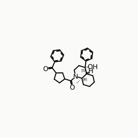 C[C@@]12CCCC[C@H]1[C@](O)(c1ccccc1)CCN2C(=O)C1CCC(C(=O)c2ccccc2)C1